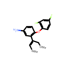 CN/C=C(\COC)c1cc(N)ccc1Oc1ccc(F)cc1F